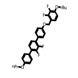 CCCCOc1ccc(COc2ccc(-c3ccc(-c4ccc(OCCC)cc4)c(F)c3F)cc2)c(F)c1F